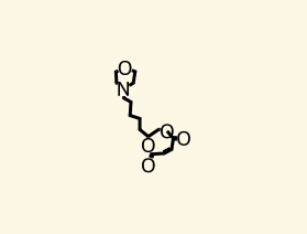 O=C1C=CC(=O)OC(CCCCCN2CCOCC2)CO1